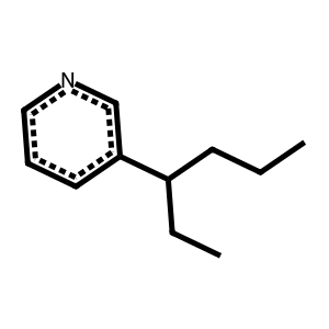 CCCC(CC)c1cccnc1